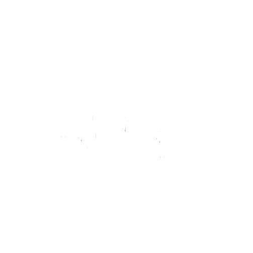 Cc1ccc(S(=O)(=O)N(CCCN2C(=O)c3ccccc3C2=O)CCC(F)(F)CN2C(=O)c3ccccc3C2=O)cc1